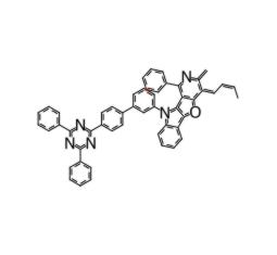 C=c1nc(-c2ccccc2)c2c(oc3c4ccccc4n(-c4cccc(-c5ccc(-c6nc(-c7ccccc7)nc(-c7ccccc7)n6)cc5)c4)c32)/c1=C/C=C\C